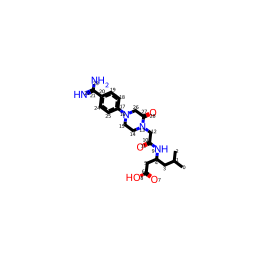 CC(C)CC(CC(=O)O)NC(=O)CN1CCN(c2ccc(C(=N)N)cc2)CC1=O